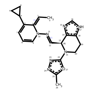 C/C=C1/C(C2CC2)=CC=CN1/N=C/[C@H]1c2nc[nH]c2CCN1c1nnc(C)o1